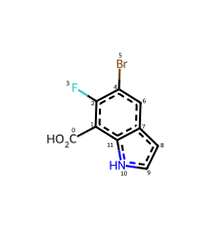 O=C(O)c1c(F)c(Br)cc2cc[nH]c12